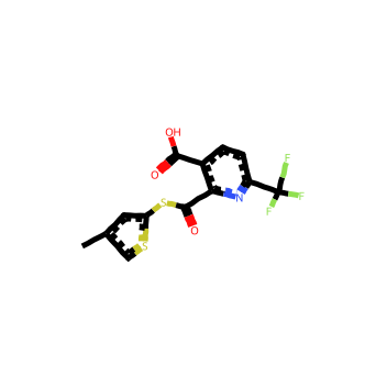 Cc1csc(SC(=O)c2nc(C(F)(F)F)ccc2C(=O)O)c1